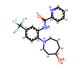 O=C(Nc1cc(C(F)(F)F)ccc1N1CCCC(O)CC1)c1ccccn1